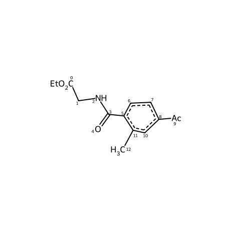 CCOC(=O)CNC(=O)c1ccc(C(C)=O)cc1C